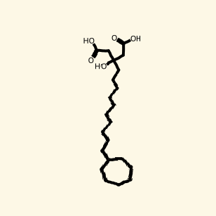 O=C(O)CC(O)(CCCCCCCCCCC1CCCCCC1)CC(=O)O